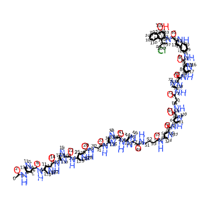 CC(=O)Nc1cc(C(=O)Nc2cc(C(=O)Nc3cn(C)c(C(=O)Nc4cc(C(=O)NCCC(=O)Nc5cn(C)c(C(=O)Nc6cn(C)c(C(=O)NCCCC(=O)Nc7cc(C(=O)Nc8cc(C(=O)NCCC(=O)Nc9cn(C)c(C(=O)Nc%10cc(C(=O)Nc%11ccc%12[nH]c(C(=O)N%13CC(CCl)c%14c%13cc(O)c%13ccccc%14%13)cc%12c%11)n(C)c%10)n9)n(C)c8)n(C)c7)n6)n5)n(C)c4)n3)n(C)c2)n(C)c1